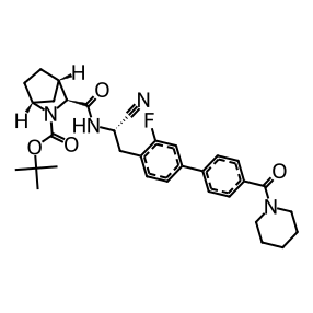 CC(C)(C)OC(=O)N1[C@@H]2CC[C@@H](C2)[C@H]1C(=O)N[C@H](C#N)Cc1ccc(-c2ccc(C(=O)N3CCCCC3)cc2)cc1F